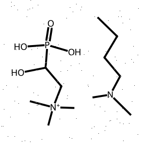 CCCCN(C)C.C[N+](C)(C)CC(O)P(=O)(O)O